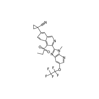 CCS(=O)(=O)c1c(-c2nc3cc(OC(F)(F)C(F)(F)F)cnc3n2C)ncc2cc(C3(C#N)CC3)ccc12